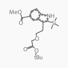 COC(=O)c1ccc2[nH]c([Si](C)(C)C)c(CCOCC(=O)OC(C)(C)C)c2c1